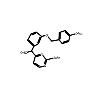 COc1ccc(COc2cccc(C(C=O)c3ccnc(SC)n3)c2)cc1